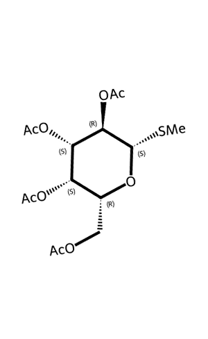 CS[C@@H]1O[C@H](COC(C)=O)[C@H](OC(C)=O)[C@H](OC(C)=O)[C@H]1OC(C)=O